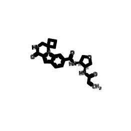 C=CC(=O)N[C@@H]1COC[C@@H]1NC(=O)c1ccc2cc3n(c2c1)C1(CCC1)CNC3=O